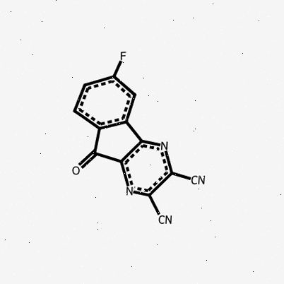 N#Cc1nc2c(nc1C#N)-c1cc(F)ccc1C2=O